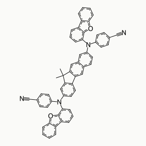 CC1(C)c2cc(N(c3ccc(C#N)cc3)c3cccc4c3oc3ccccc34)ccc2-c2cc3ccc(N(c4ccc(C#N)cc4)c4cccc5c4oc4ccccc45)cc3cc21